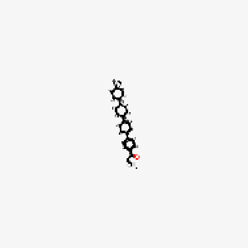 C=CC(=O)c1ccc(C2CCC(C3CCC(C4CCC(CCC)CC4)CC3)CC2)cc1